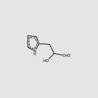 O=CC(O)Cc1ccc[nH]1